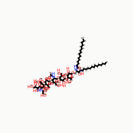 CCCCCCCCCCCCC/C=C/[C@@H](O)[C@H](CO[C@@H]1OC(CO)[C@@H](O[C@@H]2OC(CO)[C@H](O[C@@H]3OC(CO)[C@H](O)[C@H](O[C@@H]4OC(CO)[C@H](O)[C@H](O[C@]5(C(=O)O)CC(O)[C@@H](NC(=O)CO)C([C@H](O)[C@H](O)CO)O5)C4O)C3NC(C)=O)[C@H](O)C2O)[C@H](O)C1O)NC(=O)CCCCCCCCCCCCCCC